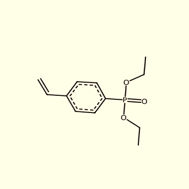 C=Cc1ccc(P(=O)(OCC)OCC)cc1